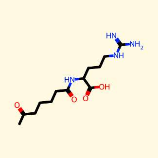 CC(=O)CCCCC(=O)NC(CCCNC(=N)N)C(=O)O